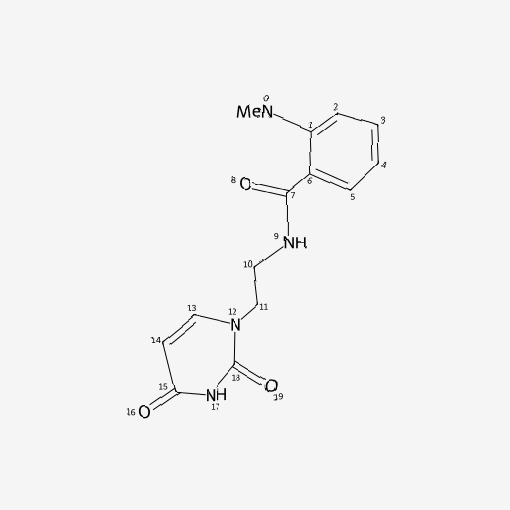 CNc1ccccc1C(=O)NCCn1ccc(=O)[nH]c1=O